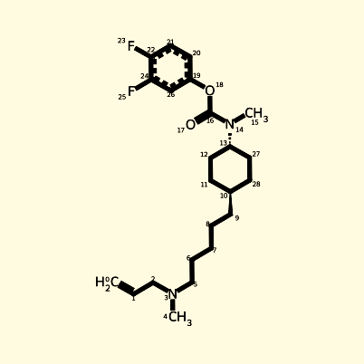 C=CCN(C)CCCCC[C@H]1CC[C@H](N(C)C(=O)Oc2ccc(F)c(F)c2)CC1